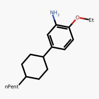 CCCCCC1CCC(c2ccc(OCC)c(N)c2)CC1